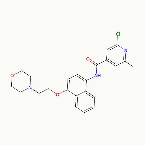 Cc1cc(C(=O)Nc2ccc(OCCN3CCOCC3)c3ccccc23)cc(Cl)n1